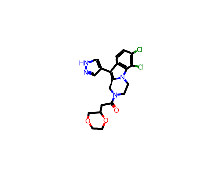 O=C(CC1COCCO1)N1CCn2c(c(-c3cn[nH]c3)c3ccc(Cl)c(Cl)c32)C1